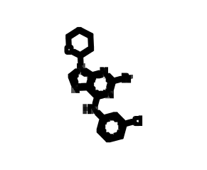 Clc1cccc(Nc2nc(Br)nc3c2ncn3C2CCCCO2)c1